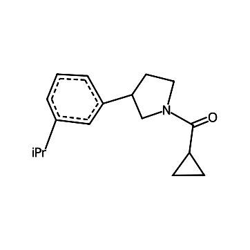 CC(C)c1cccc(C2CCN(C(=O)C3CC3)C2)c1